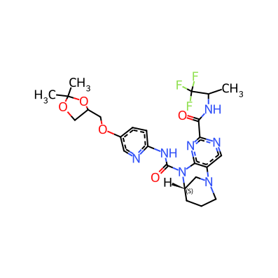 CC(NC(=O)c1ncc2c(n1)N(C(=O)Nc1ccc(OCC3COC(C)(C)O3)cn1)[C@H]1CCCN2C1)C(F)(F)F